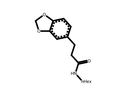 CCCCCCNC(=O)CCc1ccc2c(c1)OCO2